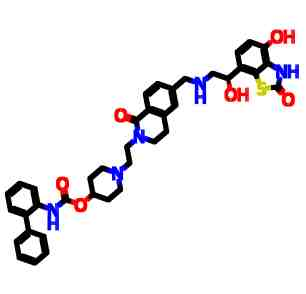 O=C(Nc1ccccc1-c1ccccc1)OC1CCN(CCN2CCc3cc(CNC[C@H](O)c4ccc(O)c5[nH]c(=O)sc45)ccc3C2=O)CC1